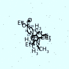 C\C=C/N=C(C(=C/C)/C(=C(C)N1CCN(C(=C=O)OCC)CC1)/C(C)=N\C=C\CC)\C(C)=C(/C)CC